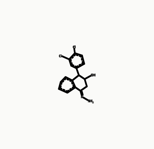 NN=C1CC(O)C(c2ccc(Cl)c(Cl)c2)c2ccccc21